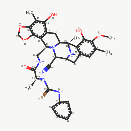 COc1c(C)cc2c(c1O)[C@@H]1C3Cc4c(O)c(C)c5c(c4[C@H](CNC(=O)[C@H](C)NC(=S)Nc4ccccc4)N3C(C#N)C(C2)N1C)OCO5